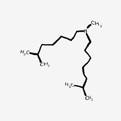 [CH2]N(CCCCCC(C)C)CCCCCC(C)C